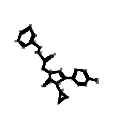 O=C(Cn1nc(-c2ccc(Cl)cc2)n(C2CC2)c1=O)NCc1cccnc1